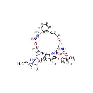 C=C[C@@H]1C[C@@]1(CI)NC(=O)[C@@H]1C[C@@H]2CN1C(=O)[C@H](C(C)(C)C)NC(=O)[C@@H](NC(=O)OC(C)(C)C)COC/C=C/c1cccc3c1CN(C3)C(=O)O2